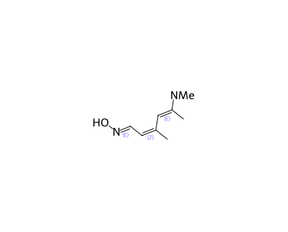 CN/C(C)=C/C(C)=C\C=N\O